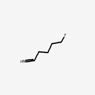 N=CCCCCF